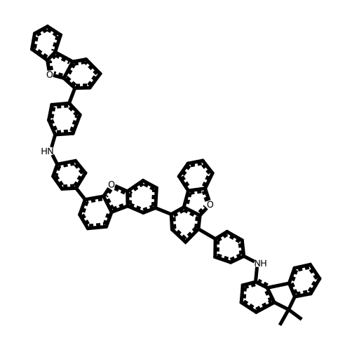 CC1(C)c2ccccc2-c2c(Nc3ccc(-c4ccc(-c5ccc6oc7c(-c8ccc(Nc9ccc(-c%10cccc%11c%10oc%10ccccc%10%11)cc9)cc8)cccc7c6c5)c5c4oc4ccccc45)cc3)cccc21